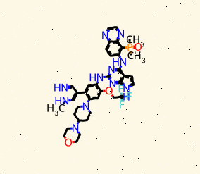 CN/C=C(\C=N)c1cc(Nc2nc(Nc3ccc4nccnc4c3P(C)(C)=O)c3cc[nH]c3n2)c(OCC(F)(F)F)cc1N1CCC(N2CCOCC2)CC1